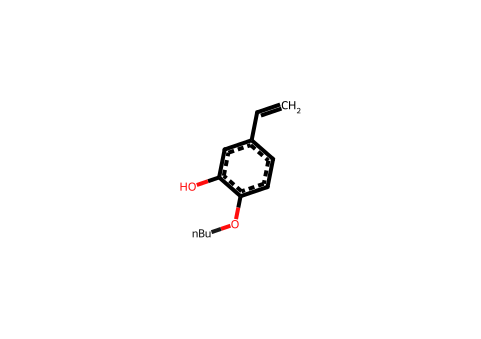 C=Cc1ccc(OCCCC)c(O)c1